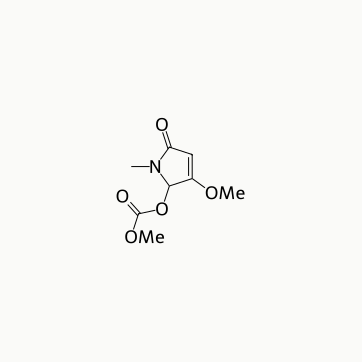 COC(=O)OC1C(OC)=CC(=O)N1C